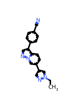 CCn1cc(-c2ccc3c(-c4ccc(C#N)cc4)cnn3c2)cn1